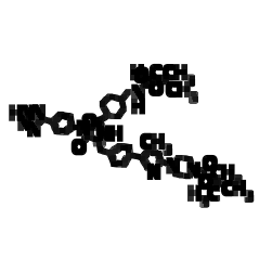 Cc1cc(N2CCN(C(=O)OC(C)(C)C)CC2)ncc1-c1ccc(C[C@H](NC(=O)C2CCC(CNC(=O)OC(C)(C)C)CC2)C(=O)Nc2ccc(-c3nn[nH]n3)cc2)cc1